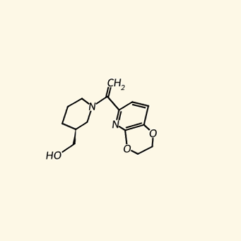 C=C(c1ccc2c(n1)OCCO2)N1CCC[C@H](CO)C1